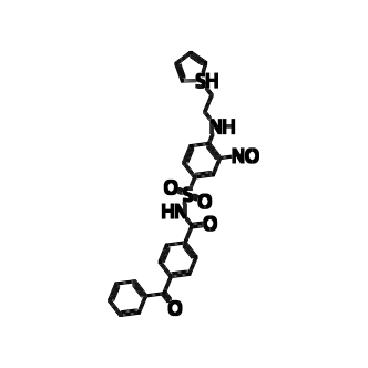 O=Nc1cc(S(=O)(=O)NC(=O)c2ccc(C(=O)c3ccccc3)cc2)ccc1NCC[SH]1C=CC=C1